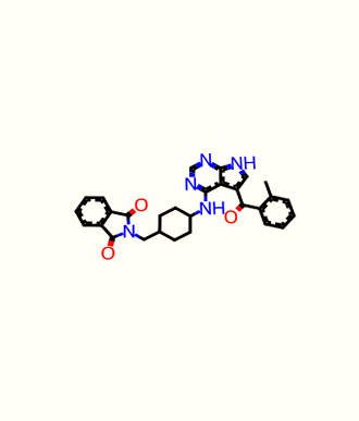 Cc1ccccc1C(=O)c1c[nH]c2ncnc(NC3CCC(CN4C(=O)c5ccccc5C4=O)CC3)c12